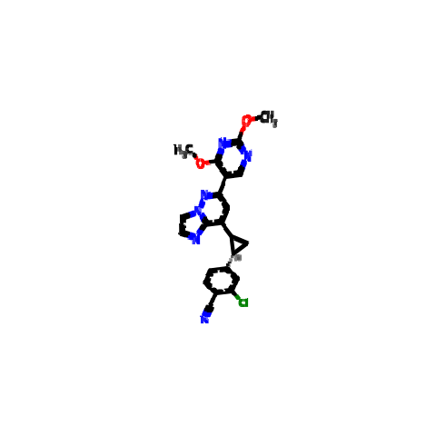 COc1ncc(-c2cc(C3C[C@@H]3c3ccc(C#N)c(Cl)c3)c3nccn3n2)c(OC)n1